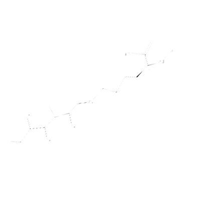 CCC(C)N[C@@H](CCCCNCC(O)C(O)C(O)C(O)CO)C(=O)C(C)C